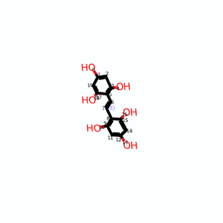 Oc1cc(O)c(/C=C/c2c(O)cc(O)cc2O)c(O)c1